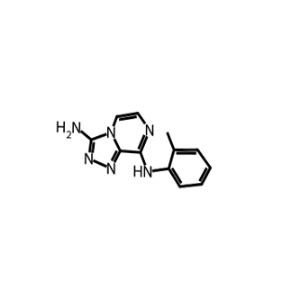 Cc1ccccc1Nc1nccn2c(N)nnc12